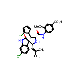 COc1cc(C(=O)O)ccc1NC(=O)[C@@H]1N[C@@H](C=C(C)C)[C@@]2(C(=O)Nc3cc(Cl)ccc32)C1C1C=CC=C1Cl